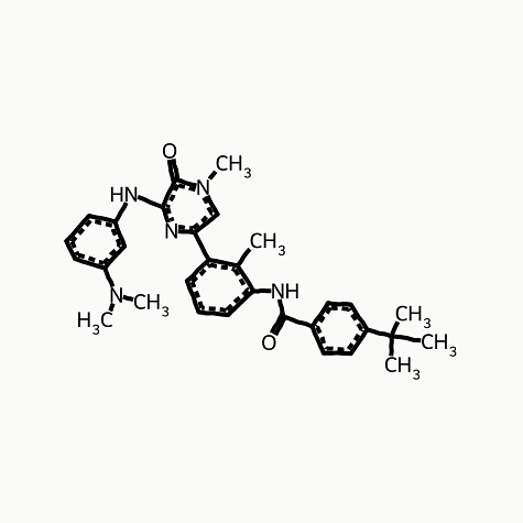 Cc1c(NC(=O)c2ccc(C(C)(C)C)cc2)cccc1-c1cn(C)c(=O)c(Nc2cccc(N(C)C)c2)n1